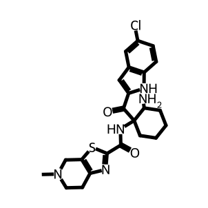 CN1CCc2nc(C(=O)NC3(C(=O)c4cc5cc(Cl)ccc5[nH]4)CCCCC3N)sc2C1